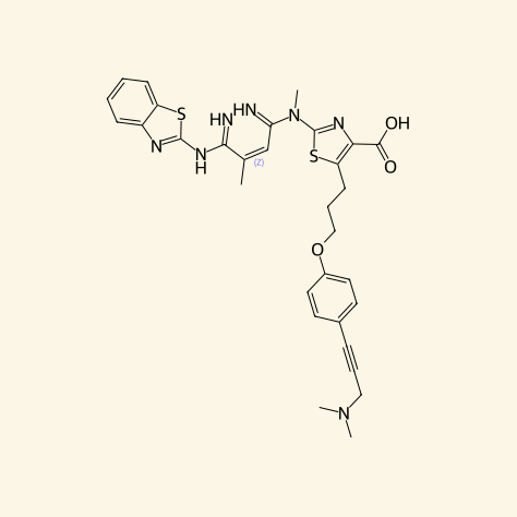 C/C(=C/C(=N)N(C)c1nc(C(=O)O)c(CCCOc2ccc(C#CCN(C)C)cc2)s1)C(=N)Nc1nc2ccccc2s1